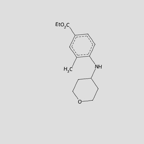 CCOC(=O)c1ccc(NC2CCOCC2)c(C)c1